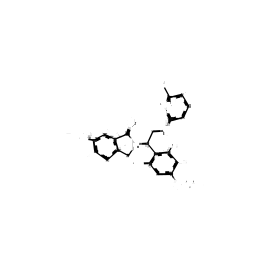 COc1cc(F)c(C(COc2cccc(C)n2)N2Cc3ccc(C(F)(F)F)cc3C2=O)c(F)c1